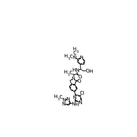 CC(C(=O)NC(CO)c1ccnc(N(C)C)c1)N1Cc2ccc(-c3nc(Nc4cnn(C)n4)ncc3Cl)cc2C1=O